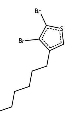 CCCCCCc1csc(Br)c1Br